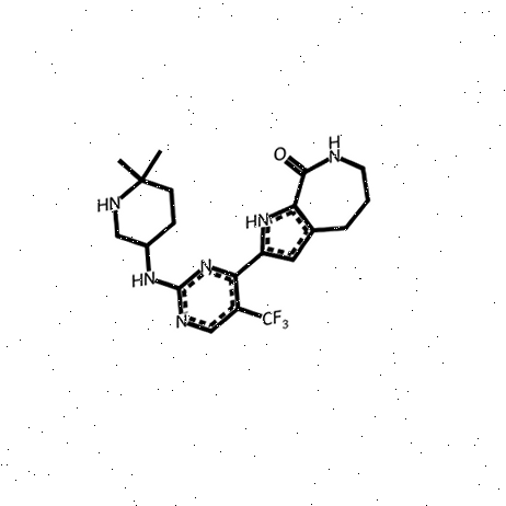 CC1(C)CCC(Nc2ncc(C(F)(F)F)c(-c3cc4c([nH]3)C(=O)NCCC4)n2)CN1